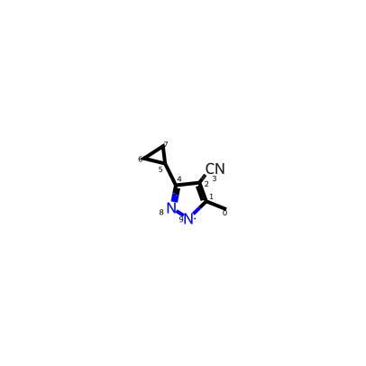 CC1=C(C#N)C(C2CC2)=N[N]1